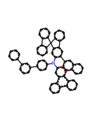 c1ccc(-c2cccc(-c3ccc(N(c4ccc5c6ccccc6c6ccccc6c5c4)c4cc5c(cc4-c4ccc6ccccc6c4)-c4ccccc4C54c5ccccc5-c5ccccc54)cc3)c2)cc1